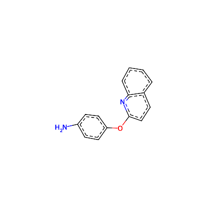 Nc1ccc(Oc2ccc3ccccc3n2)cc1